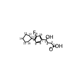 O=C(O)CCC(O)c1ccc(C2CCCCC2)c(F)c1